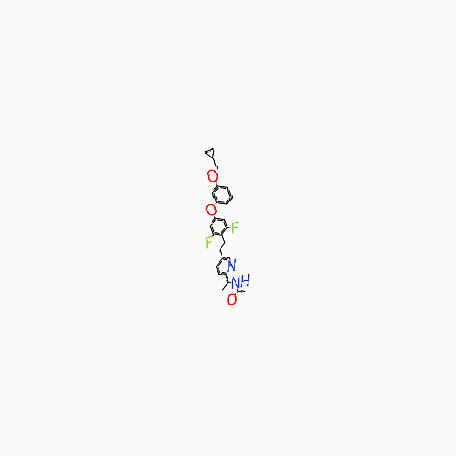 CC(=O)NC(C)c1ccc(CCc2c(F)cc(Oc3cccc(OCC4CC4)c3)cc2F)cn1